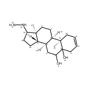 C[C@]12CC[C@@H]3[C@@H](CC(O)C4(O)CC=CC[C@]34C)[C@@H]1CCC2NN